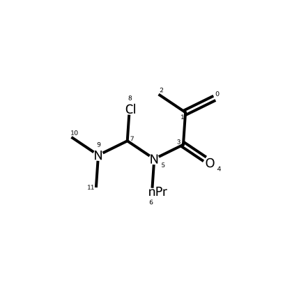 C=C(C)C(=O)N(CCC)C(Cl)N(C)C